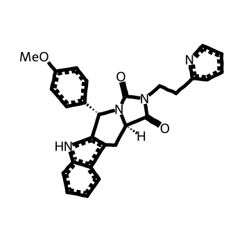 COc1ccc([C@H]2c3[nH]c4ccccc4c3C[C@@H]3C(=O)N(CCc4ccccn4)C(=O)N23)cc1